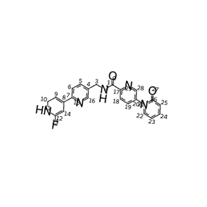 O=C(NCc1ccc(C2=CCNC(F)=C2)nc1)c1ccc(-n2ccccc2=O)cn1